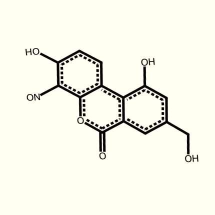 O=Nc1c(O)ccc2c1oc(=O)c1cc(CO)cc(O)c12